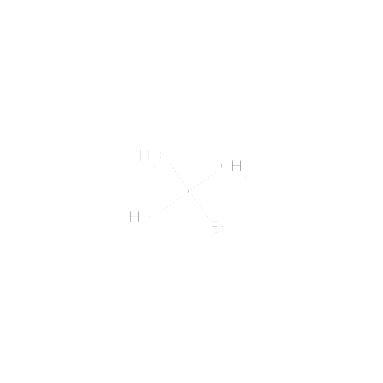 [CH2]CC([CH2])([CH2])C